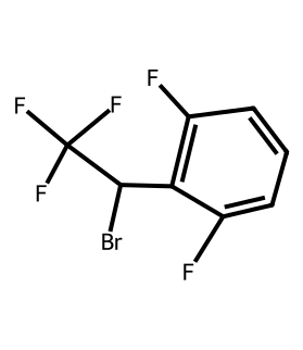 Fc1cccc(F)c1C(Br)C(F)(F)F